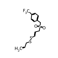 C=CCSS/C=C/CS(=O)(=O)Cc1ccc(C(F)(F)F)cc1